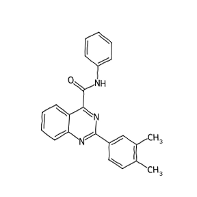 Cc1ccc(-c2nc(C(=O)Nc3ccccc3)c3ccccc3n2)cc1C